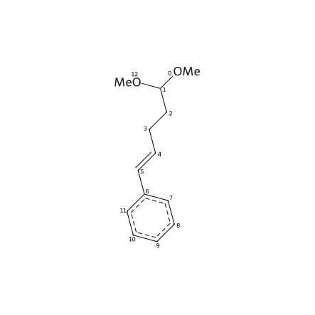 COC(CC/C=C/c1ccccc1)OC